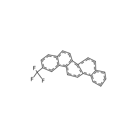 FC(F)(F)c1ccc2ccc3c(ccc4c5ccccc5ccc43)c2c1